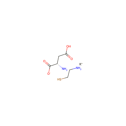 NCCS.N[C@@H](CC(=O)O)C(=O)[O-].[K+]